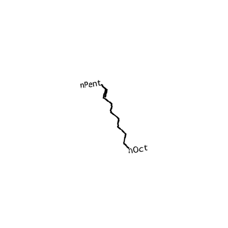 [CH2]CCCCCCCCCCCCCC=CCCCCC